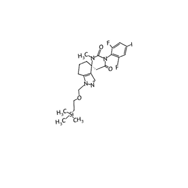 CN1C(=O)N(c2c(F)cc(I)cc2F)C(=O)C[C@]12CCCc1c2cnn1COCC[Si](C)(C)C